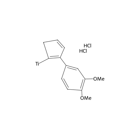 COc1ccc(C2=[C]([Ti])CC=C2)cc1OC.Cl.Cl